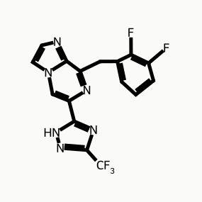 Fc1cccc(Cc2nc(-c3nc(C(F)(F)F)n[nH]3)cn3ccnc23)c1F